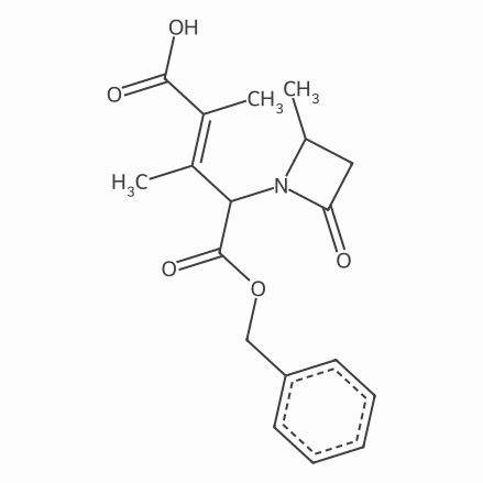 CC(C(=O)O)=C(C)C(C(=O)OCc1ccccc1)N1C(=O)CC1C